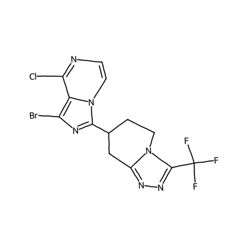 FC(F)(F)c1nnc2n1CCC(c1nc(Br)c3c(Cl)nccn13)C2